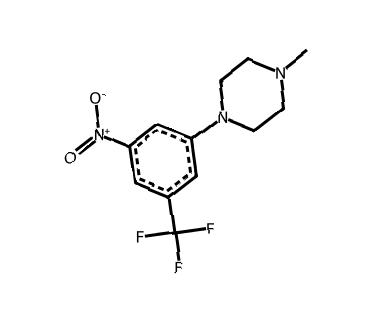 CN1CCN(c2cc([N+](=O)[O-])cc(C(F)(F)F)c2)CC1